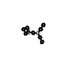 c1ccc(-c2ccc(-c3nc(-c4ccc(-c5ccccc5)cc4)nc(-c4ccc(-c5nc6cccc(-c7ccccc7)c6c6c5sc5ccccc56)cc4)n3)cc2)cc1